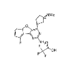 CN[C@@H]1CCN(c2nc(N)nc3c2oc2cccc(F)c23)C1.O=C(O)C(F)(F)F